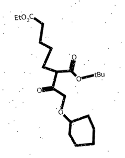 CCOC(=O)CCCCC(C(=O)COC1CCCCC1)C(=O)OC(C)(C)C